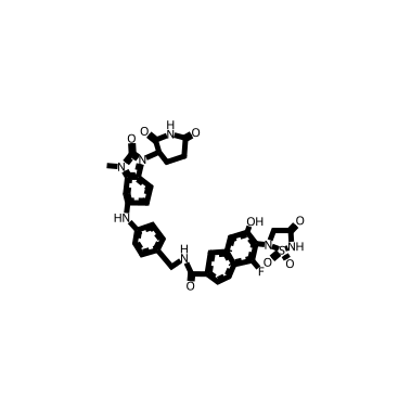 Cn1c(=O)n(C2CCC(=O)NC2=O)c2ccc(Nc3ccc(CNC(=O)c4ccc5c(F)c(N6CC(=O)NS6(=O)=O)c(O)cc5c4)cc3)cc21